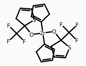 FC(F)(F)C1([O][Zr]([O]C2(C(F)(F)F)CC=CS2)([C]2=CC=CC2)[C]2=CC=CC2)CC=CS1